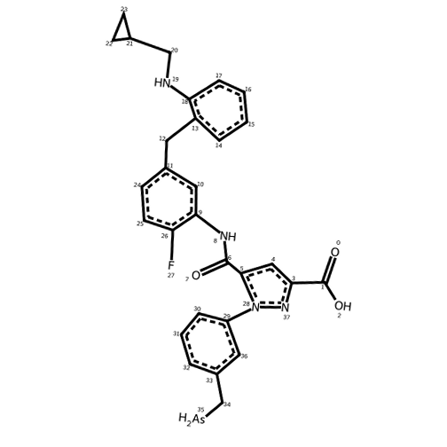 O=C(O)c1cc(C(=O)Nc2cc(Cc3ccccc3NCC3CC3)ccc2F)n(-c2cccc(C[AsH2])c2)n1